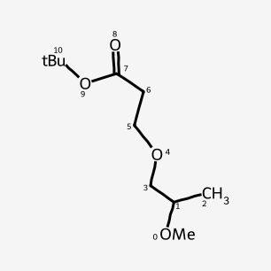 COC(C)COCCC(=O)OC(C)(C)C